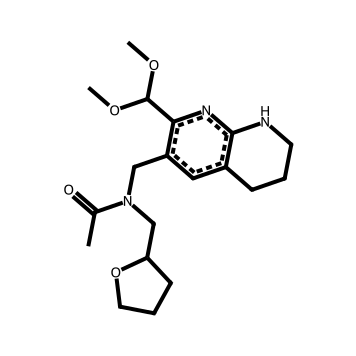 COC(OC)c1nc2c(cc1CN(CC1CCCO1)C(C)=O)CCCN2